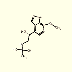 COc1ccc([C@@H](O)CNC(C)(C)C)c2cn[nH]c12